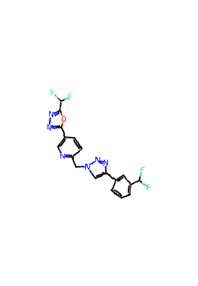 FC(F)c1cccc(-c2cn(Cc3ccc(-c4nnc(C(F)F)o4)cn3)nn2)c1